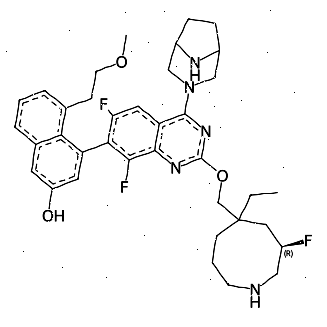 CCC1(COc2nc(N3CC4CCC(C3)N4)c3cc(F)c(-c4cc(O)cc5cccc(CCOC)c45)c(F)c3n2)CCCNC[C@H](F)C1